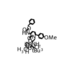 COc1ccc(-c2ccc(NC(=O)OCc3ccccc3)c(=O)n2CC(=O)NC(O[SiH](C)C)(C(C)C)C(C(C)(C)C)C(F)(F)F)cc1